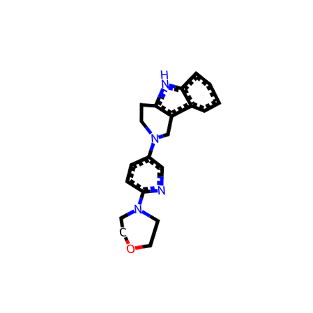 c1ccc2c3c([nH]c2c1)CCN(c1ccc(N2CCOCC2)nc1)C3